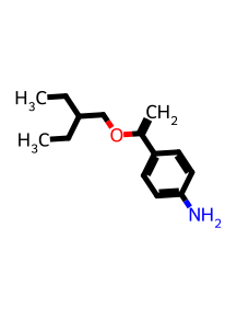 C=C(OCC(CC)CC)c1ccc(N)cc1